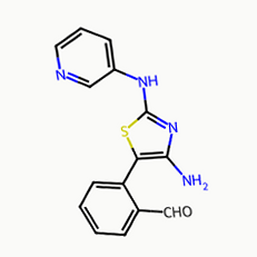 Nc1nc(Nc2cccnc2)sc1-c1ccccc1C=O